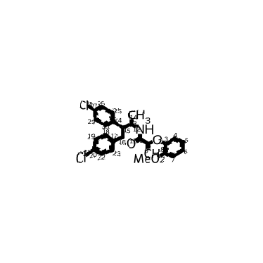 C=C(Oc1ccccc1OC)C(=O)NC(C)C(Cc1ccc(Cl)cc1)c1ccc(Cl)cc1